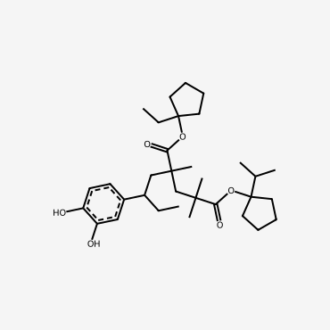 CCC(CC(C)(CC(C)(C)C(=O)OC1(C(C)C)CCCC1)C(=O)OC1(CC)CCCC1)c1ccc(O)c(O)c1